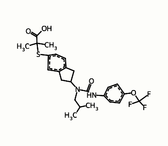 CC(C)CN(C(=O)Nc1ccc(OC(F)(F)F)cc1)C1Cc2ccc(SC(C)(C)C(=O)O)cc2C1